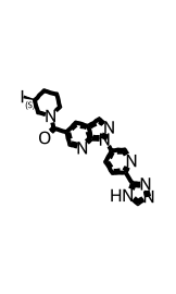 O=C(c1cnc2c(cnn2-c2ccc(-c3nnc[nH]3)nc2)c1)N1CCC[C@H](I)C1